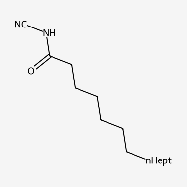 CCCCCCCCCCCCCC(=O)NC#N